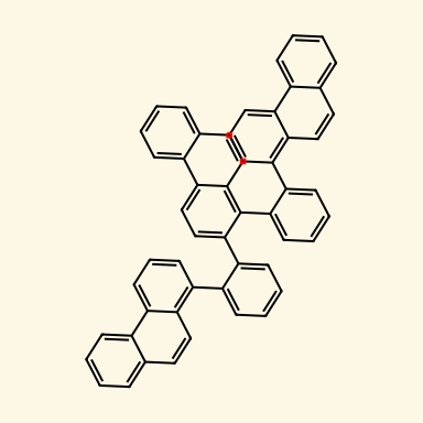 c1ccc(-c2cccc3c2ccc2ccccc23)c(-c2ccc3c(ccc4ccccc43)c2-c2ccccc2-c2cccc3c2ccc2ccccc23)c1